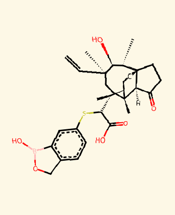 C=C[C@]1(C)C[C@@H](C(Sc2ccc3c(c2)B(O)OC3)C(=O)O)[C@]2(C)[C@H](C)CC[C@]3(CCC(=O)[C@H]32)[C@@H](C)[C@@H]1O